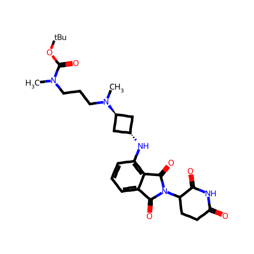 CN(CCCN(C)[C@H]1C[C@H](Nc2cccc3c2C(=O)N(C2CCC(=O)NC2=O)C3=O)C1)C(=O)OC(C)(C)C